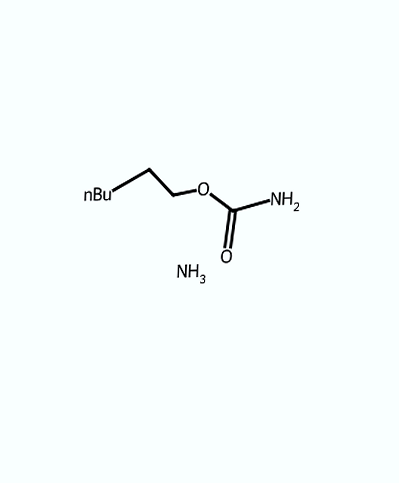 CCCCCCOC(N)=O.N